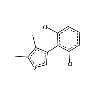 Cc1occ(-c2c(Cl)cccc2Cl)c1C